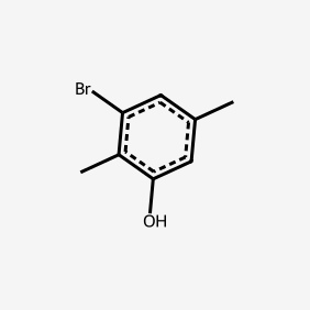 Cc1cc(O)c(C)c(Br)c1